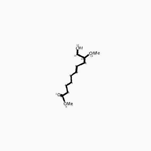 COC(=O)CCCCCCCC(CO)OC